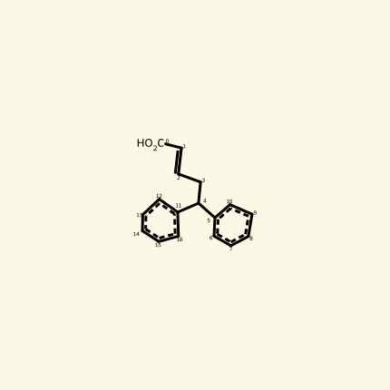 O=C(O)C=CCC(c1ccccc1)c1ccccc1